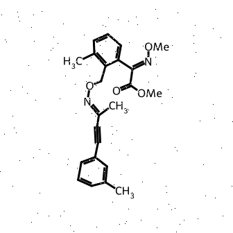 CO/N=C(/C(=O)OC)c1cccc(C)c1CO/N=C(\C)C#Cc1cccc(C)c1